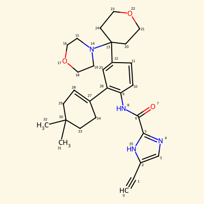 C#Cc1cnc(C(=O)Nc2ccc(C3(N4CCOCC4)CCOCC3)cc2C2=CCC(C)(C)CC2)[nH]1